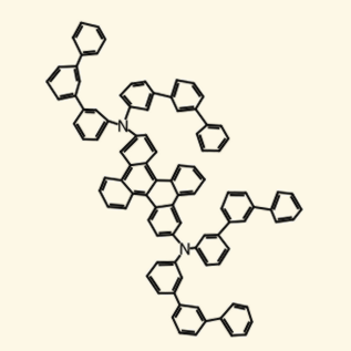 c1ccc(-c2cccc(-c3cccc(N(c4cccc(-c5cccc(-c6ccccc6)c5)c4)c4ccc5c(c4)c4ccccc4c4c6ccc(N(c7cccc(-c8cccc(-c9ccccc9)c8)c7)c7cccc(-c8cccc(-c9ccccc9)c8)c7)cc6c6ccccc6c54)c3)c2)cc1